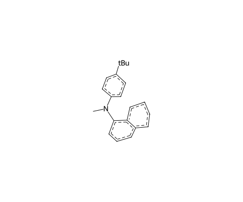 CN(c1ccc(C(C)(C)C)cc1)c1cccc2ccccc12